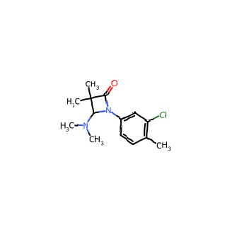 Cc1ccc(N2C(=O)C(C)(C)C2N(C)C)cc1Cl